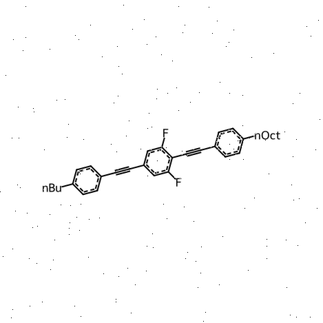 CCCCCCCCc1ccc(C#Cc2c(F)cc(C#Cc3ccc(CCCC)cc3)cc2F)cc1